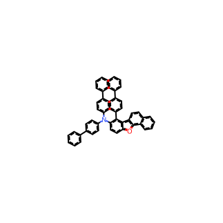 c1ccc(-c2ccc(-c3c(N(c4ccc(-c5ccccc5)cc4)c4ccc(-c5ccccc5)cc4)ccc4oc5c6ccccc6ccc5c34)cc2)cc1